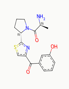 C[C@H](N)C(=O)N1CCC[C@H]1c1nc(C(=O)c2cccc(O)c2)cs1